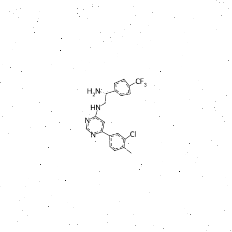 Cc1ccc(-c2cc(NC[C@H](N)c3ccc(C(F)(F)F)cc3)ncn2)cc1Cl